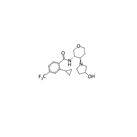 O=C(N[C@@H]1COCC[C@H]1N1CCC(O)C1)c1ccc(C(F)(F)F)cc1C1CC1